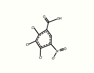 O=C(O)c1cc([N+](=O)[O-])c(Cl)c(Cl)c1Cl